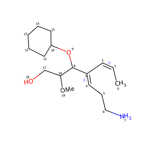 C/C=C\C(=C/CCN)C(OC1CCCCC1)C(CO)OC